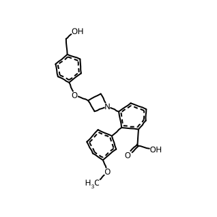 COc1cccc(-c2c(C(=O)O)cccc2N2CC(Oc3ccc(CO)cc3)C2)c1